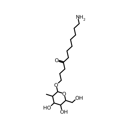 CC1C(OCCCC(=O)CCCCCCCN)OC(CO)C(O)C1O